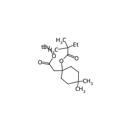 CCC(C)(C)C(=O)OC1(CC(=O)OC(C)(C)C)CCC(C)(C)CC1